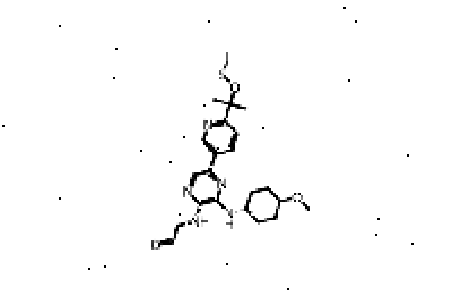 CO[C@H]1CC[C@H](Nc2nc(-c3ccc(C(C)(C)OSI)nc3)cnc2NCC=O)CC1